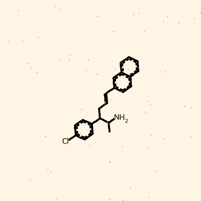 CC(N)C(C/C=C/c1ccc2ccccc2c1)c1ccc(Cl)cc1